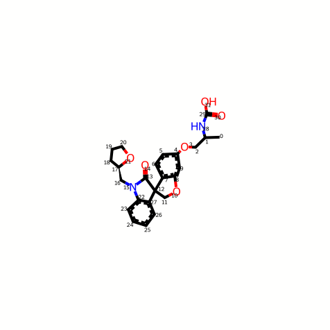 CC(COc1ccc2c(c1)OCC21C(=O)N(C[C@H]2CCCO2)c2ccccc21)NC(=O)O